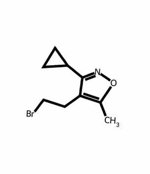 Cc1onc(C2CC2)c1CCBr